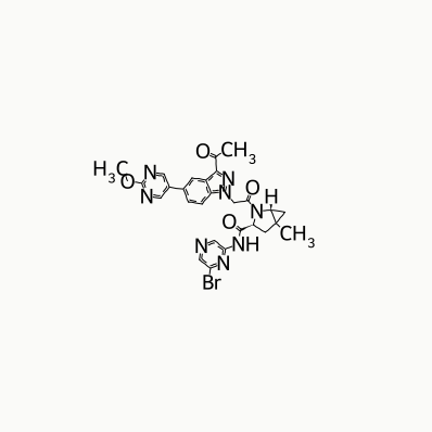 COc1ncc(-c2ccc3c(c2)c(C(C)=O)nn3CC(=O)N2[C@H](C(=O)Nc3cncc(Br)n3)CC3(C)C[C@@H]23)cn1